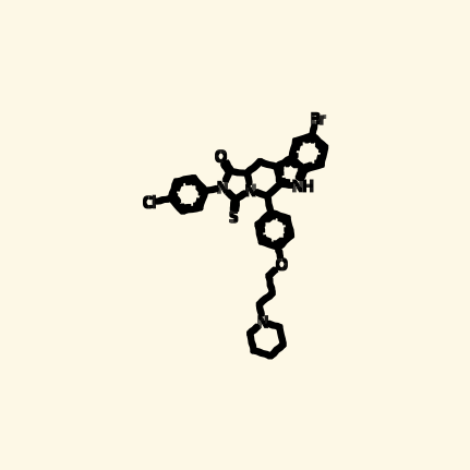 O=C1C2Cc3c([nH]c4ccc(Br)cc34)C(c3ccc(OCCCN4CCCCC4)cc3)N2C(=S)N1c1ccc(Cl)cc1